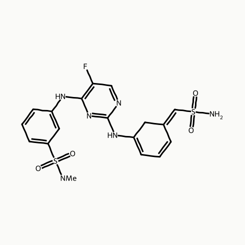 CNS(=O)(=O)c1cccc(Nc2nc(NC3=CC=CC(=CS(N)(=O)=O)C3)ncc2F)c1